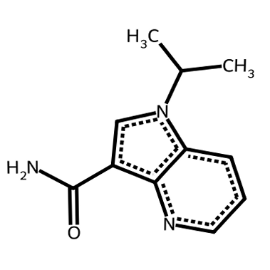 CC(C)n1cc(C(N)=O)c2ncccc21